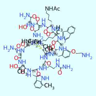 CC(=O)NCCCC[C@H](NC(=O)[C@](C)(CCCCN)NC(=O)[C@H](Cc1ccc2ccccc2c1)NC(=O)[C@H](Cc1ccc(OCCN)cc1)NC(=O)[C@H]1NC(=O)[C@H](CCCNC(N)=O)NC(=O)[C@H](Cc2c[nH]c3c(C)cccc23)NC(=O)[C@H]([C@@H](C)O)NC(=O)[C@H](CC(N)=O)NC(=O)[C@@H](NC(C)=O)C(C)(C)SSC1(C)C)C(=O)N[C@@H](CC(N)=O)C(=O)N[C@H](CO)C(N)=O